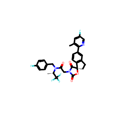 Cc1cc(F)cnc1-c1ccc2c(c1)CC[C@@]21OC(=O)N(CC(=O)N(Cc2ccc(F)cc2)[C@@H](C)C(F)(F)F)C1=O